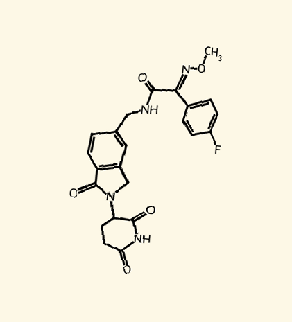 CO/N=C(/C(=O)NCc1ccc2c(c1)CN(C1CCC(=O)NC1=O)C2=O)c1ccc(F)cc1